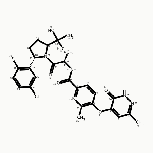 Cc1cc(Oc2ccc(C(=O)N[C@H](C)C(=O)N3C(C(C)(C)C#N)CC[C@H]3c3cc(Cl)ccc3F)nc2C)c(=O)[nH]n1